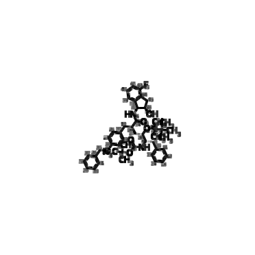 CC(C)(C)OC(=O)N[C@@H](Cc1ccccc1)[C@H](C[C@@H](Cc1ccc(OCc2ccccc2)cc1)C(=O)N[C@H]1c2cccc(F)c2C[C@H]1O)O[Si](C)(C)C(C)(C)C